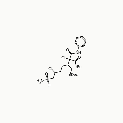 CCCCCCCCCCCC(CCC(Cl)CS(N)(=O)=O)C(Cl)(C(=O)Nc1ccccc1)C(=O)C(C)(C)C